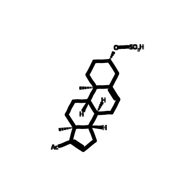 CC(=O)C1=CC[C@H]2[C@@H]3CC=C4C[C@@H](OS(=O)(=O)O)CC[C@]4(C)[C@H]3CC[C@]12C